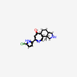 O=c1cc(-c2ccc(Cl)[nH]2)ncc2c1CCC1CNC[C@H]21